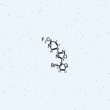 FC(F)(F)c1ccc(-c2noc(-c3occc3Br)n2)cn1